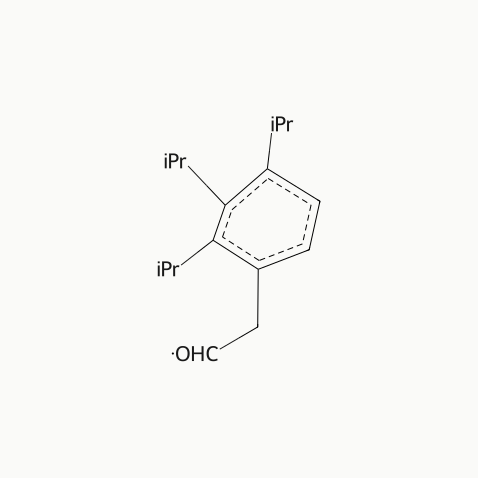 CC(C)c1ccc(C[C]=O)c(C(C)C)c1C(C)C